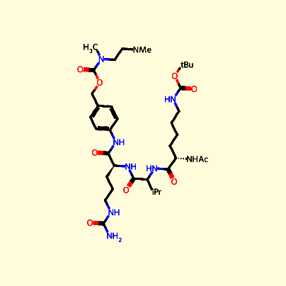 CNCCN(C)C(=O)OCc1ccc(NC(=O)[C@H](CCCNC(N)=O)NC(=O)C(NC(=O)[C@H](CCCCNC(=O)OC(C)(C)C)NC(C)=O)C(C)C)cc1